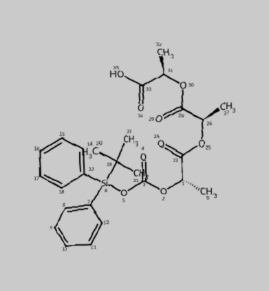 C[C@H](OC(=O)O[Si](c1ccccc1)(c1ccccc1)C(C)(C)C)C(=O)O[C@H](C)C(=O)O[C@H](C)C(=O)O